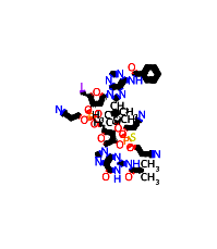 CC(C)C(=O)Nc1nc2c(ncn2[C@@H]2O[C@H](COP(=O)(OCCC#N)O[C@H]3C[C@H](n4cnc5c(NC(=O)c6ccccc6)ncnc54)O[C@@H]3CI)[C@@H](O[Si](C)(C)C(C)(C)C)[C@H]2OP(=S)(OCCC#N)OCCC#N)c(=O)[nH]1